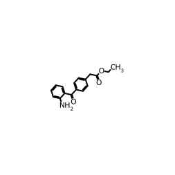 CCOC(=O)Cc1ccc(C(=O)c2ccccc2N)cc1